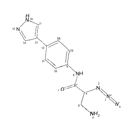 [N-]=[N+]=NC(CN)C(=O)Nc1ccc(-c2cn[nH]c2)cc1